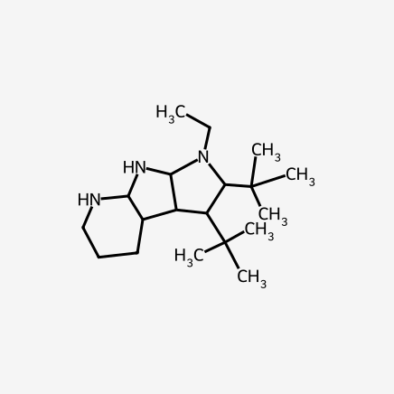 CCN1C2NC3NCCCC3C2C(C(C)(C)C)C1C(C)(C)C